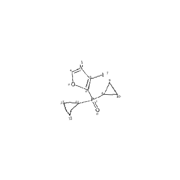 O=P(c1ocnc1I)(C1CC1)C1CC1